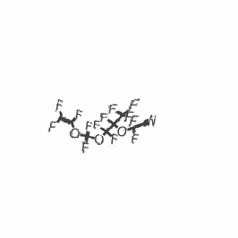 N#CC(F)(F)OC(F)(C(F)(F)F)C(F)(F)OC(F)(F)OC(F)=C(F)F